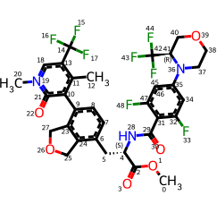 COC(=O)[C@H](Cc1ccc(-c2c(C)c(C(F)(F)F)cn(C)c2=O)c2c1COC2)NC(=O)c1c(F)cc(N2CCOC[C@@H]2C(F)(F)F)cc1F